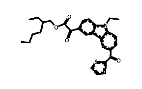 CCCCC(CC)COC(=O)C(=O)c1ccc2c(c1)c1cc(C(=O)c3cccs3)ccc1n2CC